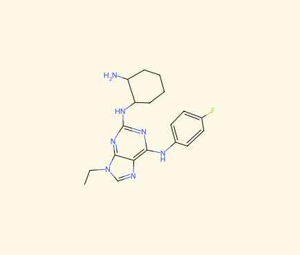 CCn1cnc2c(Nc3ccc(F)cc3)nc(NC3CCCCC3N)nc21